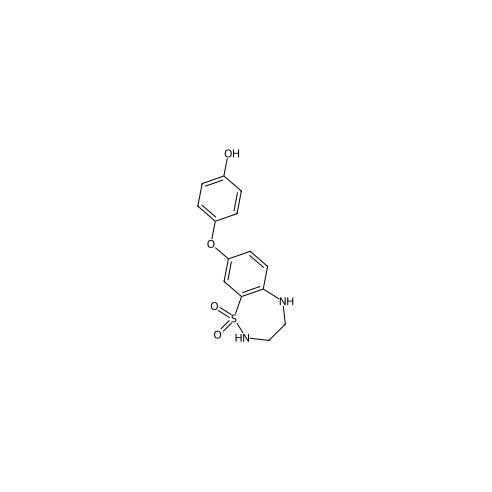 O=S1(=O)NCCNc2ccc(Oc3ccc(O)cc3)cc21